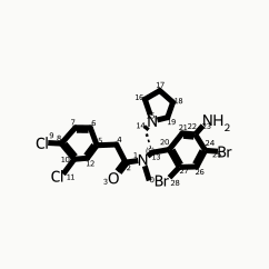 CN(C(=O)Cc1ccc(Cl)c(Cl)c1)[C@H](CN1CCCC1)c1cc(N)c(Br)cc1Br